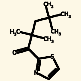 CC(C)(C)CC(C)(C)C(=O)c1nccs1